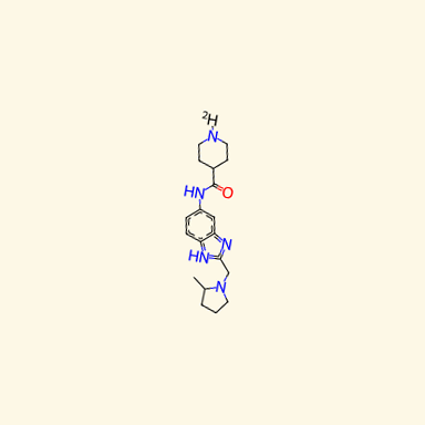 [2H]N1CCC(C(=O)Nc2ccc3[nH]c(CN4CCCC4C)nc3c2)CC1